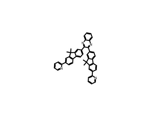 CC1(C)c2cc(-c3ccccn3)ccc2-c2ccc(-c3nc4ccccc4nc3-c3ccc4c(c3)C(C)(C)c3cc(-c5ccccn5)ccc3-4)cc21